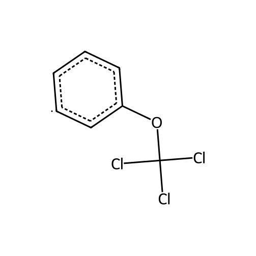 ClC(Cl)(Cl)Oc1c[c]ccc1